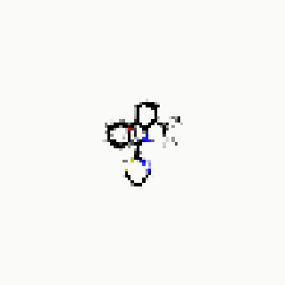 CC(C)c1cccc(C(C)C)c1/N=C(/C1=NCCCCS1)c1ccccc1